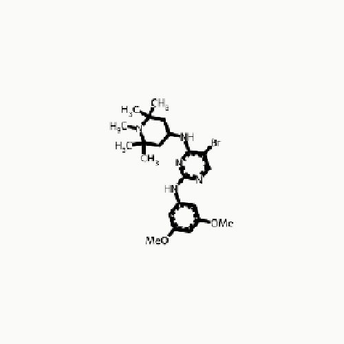 COc1cc(Nc2ncc(Br)c(NC3CC(C)(C)N(C)C(C)(C)C3)n2)cc(OC)c1